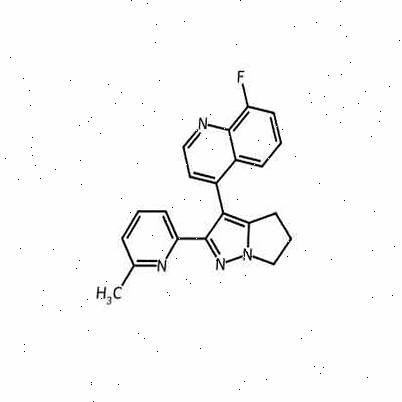 Cc1cccc(-c2nn3c(c2-c2ccnc4c(F)cccc24)CCC3)n1